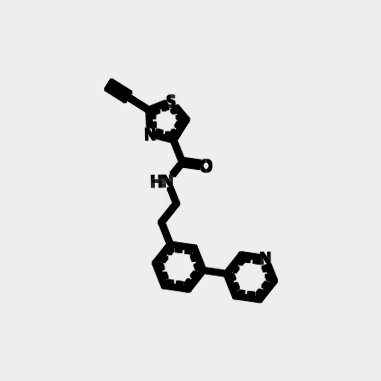 C#Cc1nc(C(=O)NCCc2cccc(-c3cccnc3)c2)cs1